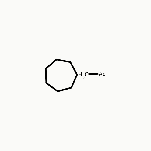 C1CCCCCC1.CC(C)=O